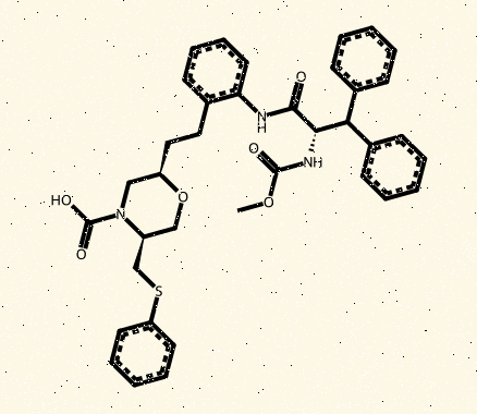 COC(=O)N[C@H](C(=O)Nc1ccccc1CC[C@@H]1CN(C(=O)O)[C@H](CSc2ccccc2)CO1)C(c1ccccc1)c1ccccc1